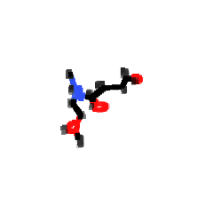 COCCN(C)C(=O)CCC=O